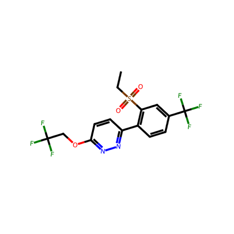 CCS(=O)(=O)c1cc(C(F)(F)F)ccc1-c1ccc(OCC(F)(F)F)nn1